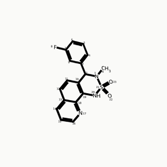 CN1C(c2cccc(F)c2)c2ccc3cccnc3c2NS1(=O)=O